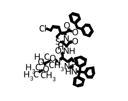 CC(C)(C)OC(=O)C(C)(C)O/N=C(\C(=O)NC1C(=O)N2C(C(=O)OC(c3ccccc3)c3ccccc3)=C(/C=C\CCl)CS[C@@H]12)c1csc(NC(c2ccccc2)(c2ccccc2)c2ccccc2)n1